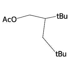 CC(=O)OCC(CC(C)(C)C)C(C)(C)C